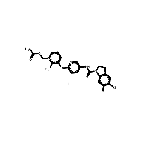 CC(=O)OC[n+]1cccc(Oc2ccc(NC(=O)N3CCc4cc(Cl)c(Cl)cc43)cn2)c1C.[Cl-]